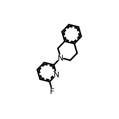 Fc1cccc(N2CCc3ccccc3C2)n1